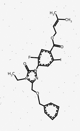 CCn1c(COCc2ccccc2)nn(-c2cc(I)c(C(=O)OCC=C(C)C)cc2F)c1=O